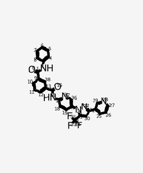 O=C(Nc1ccccc1)c1cccc(C(=O)Nc2ccc(-n3nc(-c4cccnc4)cc3C(F)(F)F)cn2)c1